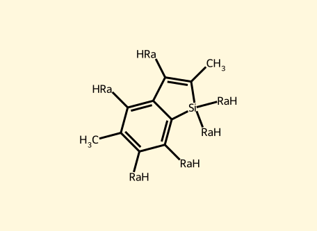 CC1=[C]([RaH])c2[c]([RaH])c(C)[c]([RaH])[c]([RaH])c2[Si]1([RaH])[RaH]